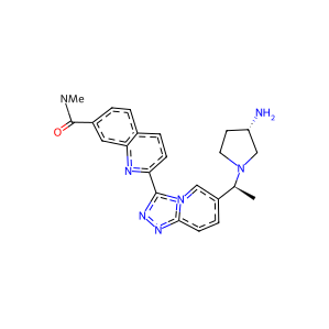 CNC(=O)c1ccc2ccc(-c3nnc4ccc([C@H](C)N5CC[C@H](N)C5)cn34)nc2c1